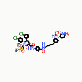 CC(C)[C@@H](CS(=O)(=O)C(C)C)N1C(=O)[C@@](C)(CC(=O)Nc2ccc(C(=O)NCCCCCc3ccc4c(c3)n(C)c(=O)n4C3CCC(=O)NC3=O)cc2)C[C@H](c2cccc(Cl)c2)[C@H]1c1ccc(Cl)cc1